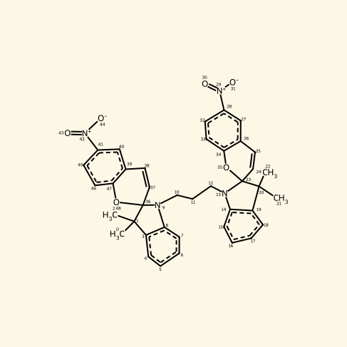 CC1(C)c2ccccc2N(CCCN2c3ccccc3C(C)(C)C23C=Cc2cc([N+](=O)[O-])ccc2O3)C12C=Cc1cc([N+](=O)[O-])ccc1O2